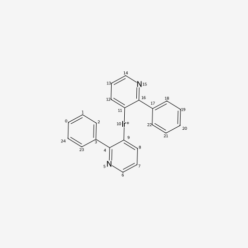 c1ccc(-c2nccc[c]2[Ir+][c]2cccnc2-c2ccccc2)cc1